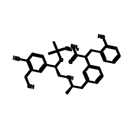 C[C@H](Cc1cccc(C(Cc2ccccc2O)C(N)=O)c1)NC[C@H](O[Si](C)(C)C(C)(C)C)c1ccc(O)c(CO)c1